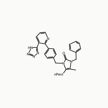 CCCCCc1c(C)n(Cc2ccccc2)c(=O)n1Cc1ccc(-c2ncccc2-c2nnn[nH]2)cc1